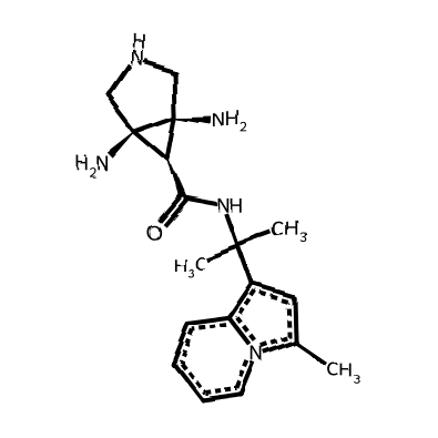 Cc1cc(C(C)(C)NC(=O)[C@H]2[C@]3(N)CNC[C@]23N)c2ccccn12